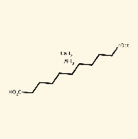 CCCCCCCCCCCCCCCCCC(=O)O.[AlH3].[CaH2]